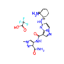 Cn1cc(NC(=O)c2cnn3ccc(N[C@@H]4CCCC[C@@H]4N)nc23)c(C(N)=O)n1.O=C(O)C(F)(F)F